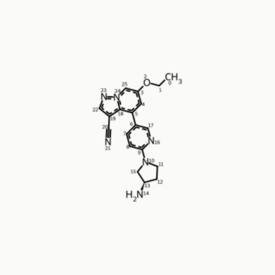 CCOc1cc(-c2ccc(N3CC[C@@H](N)C3)nc2)c2c(C#N)cnn2c1